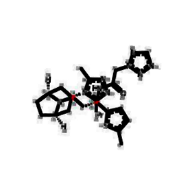 Cc1ccc([C@H](CCN2[C@@H]3CC[C@H]2C[C@H](n2c(C)nnc2C(C)C)C3)NC(=O)Cn2ncnn2)s1